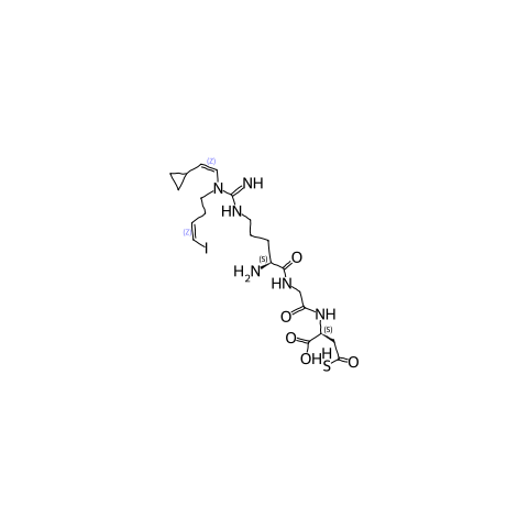 N=C(NCCC[C@H](N)C(=O)NCC(=O)N[C@@H](CC(=O)S)C(=O)O)N(/C=C\C1CC1)CC/C=C\I